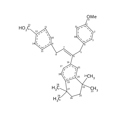 COc1ccc(C/C(=C/Cc2ccc(C(=O)O)cc2)c2ccc3c(c2)C(C)(C)CCC3(C)C)cc1